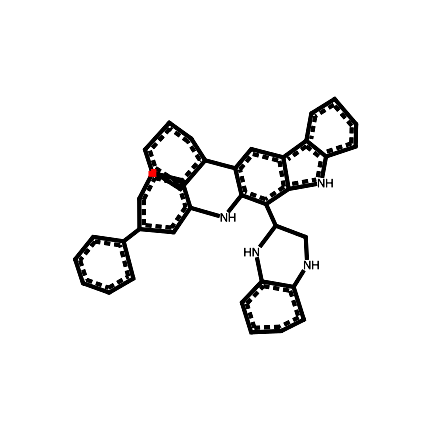 c1ccc(-c2cccc(Nc3c(-c4ccccc4)cc4c([nH]c5ccccc54)c3C3CNc4ccccc4N3)c2)cc1